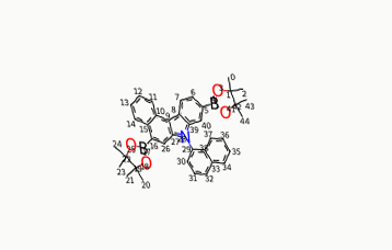 CC1(C)OB(c2ccc3c4c5ccccc5c(B5OC(C)(C)C(C)(C)O5)cc4n(-c4cccc5ccccc45)c3c2)OC1(C)C